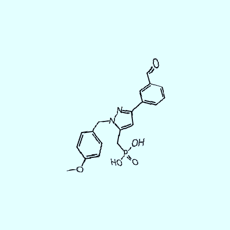 COc1ccc(Cn2nc(-c3cccc(C=O)c3)cc2CP(=O)(O)O)cc1